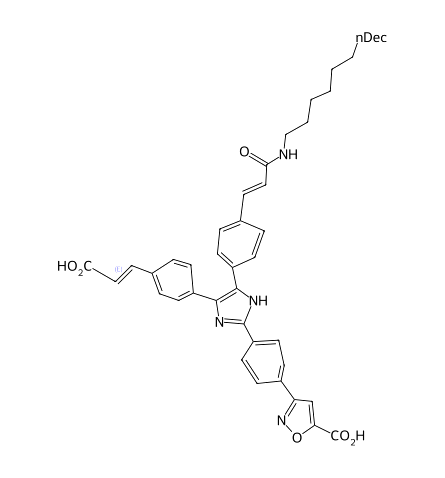 CCCCCCCCCCCCCCCCNC(=O)C=Cc1ccc(-c2[nH]c(-c3ccc(-c4cc(C(=O)O)on4)cc3)nc2-c2ccc(/C=C/C(=O)O)cc2)cc1